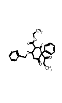 CCOC(=O)C1C(=O)C(C(=O)CC)(c2ccccc2)C(=O)CC1OCc1ccccc1